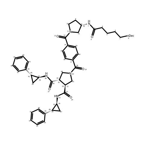 CCCCCCCCCCCCCCC(=O)N[C@H]1CCN(C(=O)c2ccc(C(=O)N3C[C@@H](C(=O)N[C@H]4C[C@@H]4c4ccccc4)[C@H](C(=O)N[C@H]4C[C@@H]4c4ccccc4)C3)cc2)C1